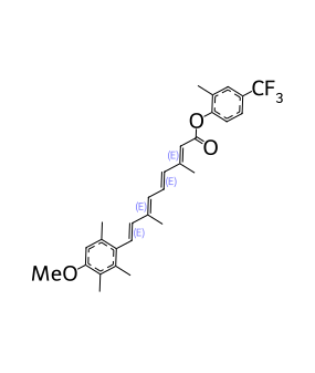 COc1cc(C)c(/C=C/C(C)=C/C=C/C(C)=C/C(=O)Oc2ccc(C(F)(F)F)cc2C)c(C)c1C